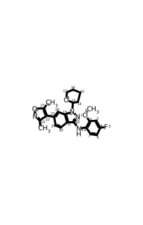 COc1cc(F)ccc1Nc1nn(C2CCCCO2)c2cc(-c3c(C)noc3C)ccc12